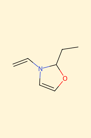 C=CN1C=COC1CC